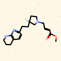 COC(=O)/C=C/CN1CC[C@@](F)(CCc2ccc3c(n2)NCCC3)C1